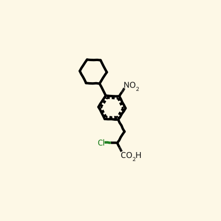 O=C(O)C(Cl)Cc1ccc(C2CCCCC2)c([N+](=O)[O-])c1